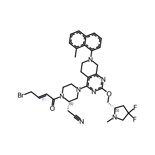 Cc1cccc2cccc(N3CCc4c(nc(OC[C@@H]5CC(F)(F)CN5C)nc4N4CCN(C(=O)/C=C/CBr)[C@@H](CC#N)C4)C3)c12